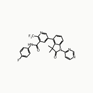 CC1(C)C(=O)N(c2ccncn2)c2cccc(-c3cnc(C(F)(F)F)c(C(=O)Nc4ccc(F)cc4)c3)c21